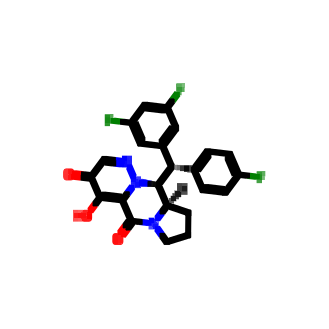 O=C1c2c(O)c(=O)cnn2[C@@H]([C@@H](c2ccc(F)cc2)c2cc(F)cc(F)c2)[C@H]2CCCN12